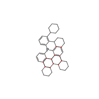 c1cc(C2CCCCC2)c(C2CCCCC2)c(P(c2cccc(C3CCCCC3)c2C2CCCCC2)c2cccc(C3CCCCC3)c2C2CCCCC2)c1